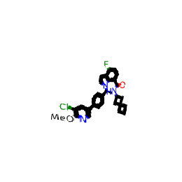 COc1ncc(-c2ccc([C@H](C)n3ccc4c(F)ccc(C(=O)NC5CC6(CCC6)C5)c43)cc2)cc1Cl